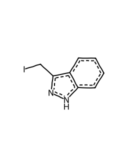 ICc1n[nH]c2ccccc12